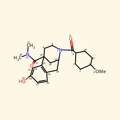 COC1CCC(C(=O)N2CCC3(C(=O)N(C)C)CC2Cc2ccc(O)cc23)CC1